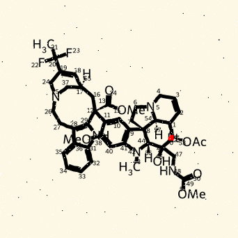 CC[C@]12C=CCN3CC[C@@]4(c5cc([C@@]6(C(=O)OC)C[C@@H]7C=C(C(C)(F)F)CN(CCc8c6[nH]c6ccccc86)C7)c(OC)cc5N(C)[C@H]4C(O)(CNC(=O)OC)[C@@H]1OC(C)=O)[C@@H]32